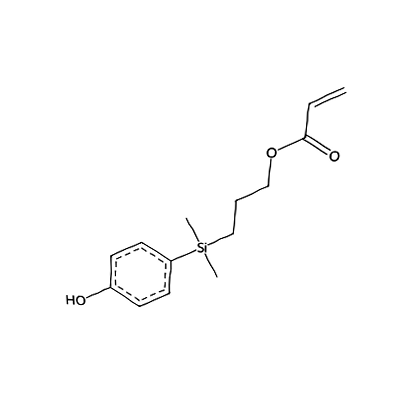 C=CC(=O)OCCC[Si](C)(C)c1ccc(O)cc1